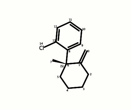 C=C1CCCC[C@]1(C)c1ccccc1Cl